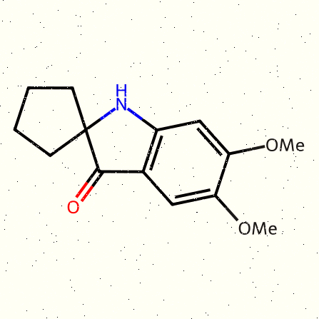 COc1cc2c(cc1OC)C(=O)C1(CCCC1)N2